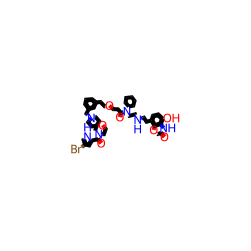 O=C1COc2c(CCNCCN(C(=O)CCOCCc3cccc(CN4CCC5(CC4)CN(C(=O)c4cc(Br)c[nH]4)CCO5)c3)C3CCCCC3)ccc(O)c2N1